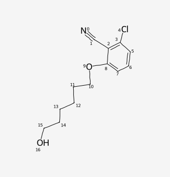 N#Cc1c(Cl)cccc1OCCCCCCO